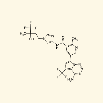 Cc1ncc(-c2cc(C(F)(F)F)c3c(N)ncnn23)cc1C(=O)Nc1cn(CCC(C)(O)C(F)(F)F)cn1